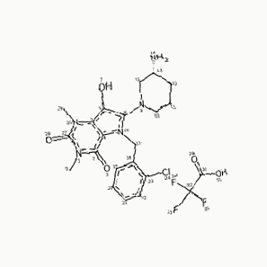 Cn1c(=O)c2c(c(O)c(N3CCC[C@@H](N)C3)n2Cc2ccccc2Cl)n(C)c1=O.O=C(O)C(F)(F)F